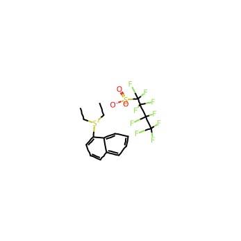 CC[S+](CC)c1cccc2ccccc12.O=S(=O)([O-])C(F)(F)C(F)(F)C(F)(F)C(F)(F)F